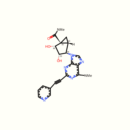 CNC(=O)[C@@]12C[C@@H]1[C@@H](n1cnc3c(NC)nc(C#Cc4cccnc4)nc31)[C@H](O)[C@@H]2O